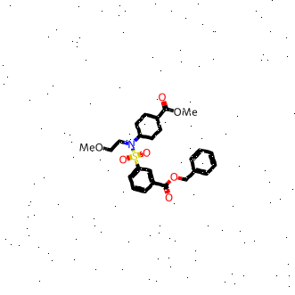 COCCN(C1CCC(C(=O)OC)CC1)S(=O)(=O)c1cccc(C(=O)OCc2ccccc2)c1